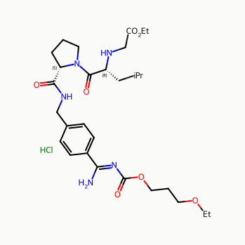 CCOCCCOC(=O)N=C(N)c1ccc(CNC(=O)[C@@H]2CCCN2C(=O)[C@@H](CC(C)C)NCC(=O)OCC)cc1.Cl